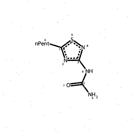 CCCCCc1nc(NC(N)=O)ns1